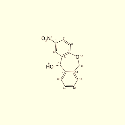 O=[N+]([O-])c1ccc2c(c1)C(O)c1ccccc1CO2